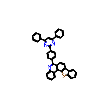 c1ccc(-c2cc(-c3ccccc3)nc(-c3ccc(-c4nc5ccccc5c5c4ccc4c6ccccc6sc45)cc3)n2)cc1